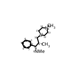 [CH2-][NH2+][C@@H](c1ccccc1)[C@@H](C)CN1CCN(C)CC1